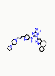 Nc1nc(Nc2ccc(/C=C/CN3CCC(N4CCCC4)CC3)nc2)n(-c2cc3c(nn2)-c2ccccc2CCC3)n1